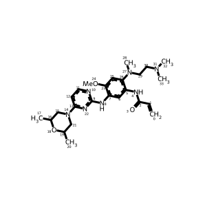 C=CC(=O)Nc1cc(Nc2nccc(N3CC(C)OC(C)C3)n2)c(OC)cc1N(C)CCN(C)C